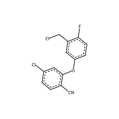 N#Cc1ccc(Cl)cc1Oc1ccc(F)c(CCl)c1